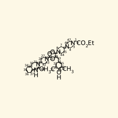 CCOC(=O)CN1CCN(C2CCN(C(=O)[C@@H](Cc3cc(C)c(O)c(C)c3)OC(=O)N3CCC(N4CCc5ccccc5NC4=O)CC3)CC2)CC1